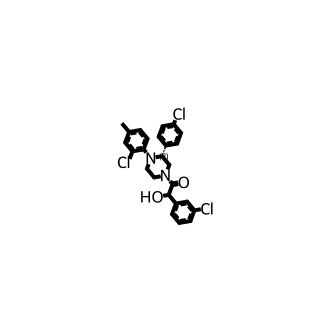 Cc1ccc(N2CCN(C(=O)C(O)c3cccc(Cl)c3)C[C@H]2c2ccc(Cl)cc2)c(Cl)c1